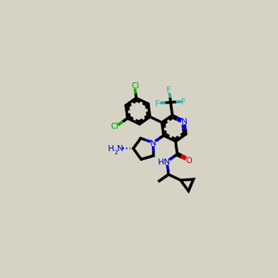 CC(NC(=O)c1cnc(C(F)(F)F)c(-c2cc(Cl)cc(Cl)c2)c1N1CC[C@H](N)C1)C1CC1